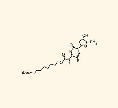 CCCCCCCCCCCCCCCCCCOC(=O)Nc1nc(=O)n([C@H]2C[C@@H](O)[C@H](C)O2)cc1F